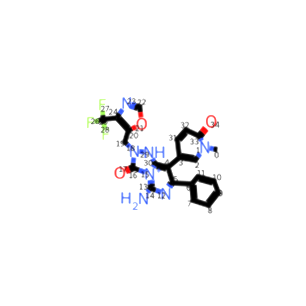 Cn1cc(-c2c(-c3ccccc3)nc(N)[n+]3c(=O)n(Cc4ocnc4C(F)(F)F)[nH]c23)ccc1=O